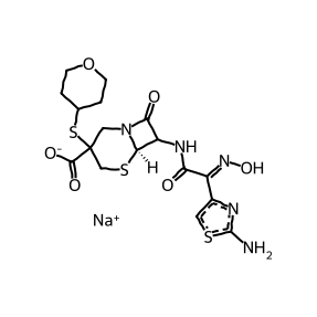 Nc1nc(C(=NO)C(=O)NC2C(=O)N3CC(SC4CCOCC4)(C(=O)[O-])CS[C@H]23)cs1.[Na+]